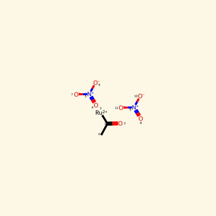 C[C](=O)[Ru+2].O=[N+]([O-])[O-].O=[N+]([O-])[O-]